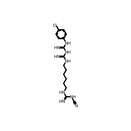 N#CNC(=N)NCCCCCCNC(=N)NC(=N)Nc1ccc(Cl)cc1